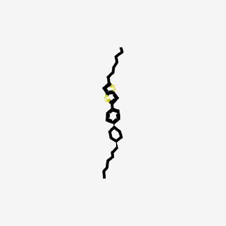 CCCCCCCc1cc2sc(-c3ccc([C@H]4CC[C@H](CCCCCCC)CC4)cc3)cc2s1